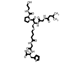 CC(C)CC(=O)NCC(=O)N[C@@H](CSCCCC(=O)NCC(=O)N[C@@H](Cc1cccs1)C(N)=O)C(=O)N1CCC[C@H]1C(=O)NCCO